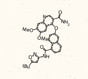 COc1cc2ncc(C(N)=O)c(Oc3ccc4c(C(=O)Nc5cc(C(C)(C)C)on5)cccc4c3)c2cc1OC